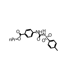 CCCOC(=O)c1ccc(NC(=O)NS(=O)(=O)c2ccc(C)cc2)cc1